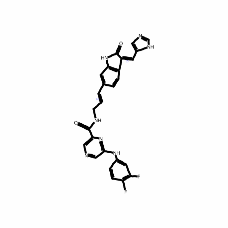 O=C1Nc2cc(/C=C/CNC(=O)c3cncc(Nc4ccc(F)c(F)c4)n3)ccc2/C1=C/c1cnc[nH]1